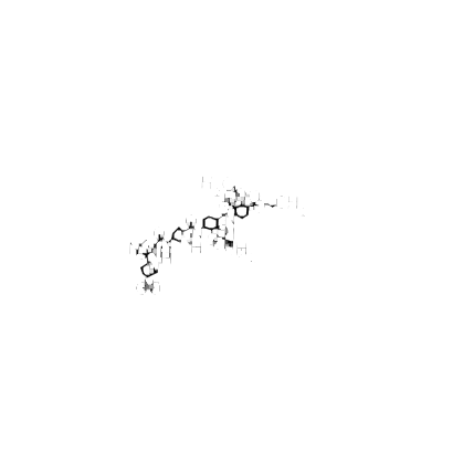 C=CCOC(=O)c1ccc(NC(=O)c2ccc(NC(=O)c3ccc(NC(=O)[C@H](CC#N)NC(=O)c4ccc([N+](=O)[O-])cn4)cn3)c(OC)c2OCC=C)c(OC)c1OCC=C